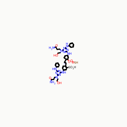 NC(=O)CCN(CCO)c1nc(Nc2ccccc2)nc(Nc2ccc(/C=C/c3ccc(Nc4nc(Nc5ccccc5)nc(N(CCO)CCC(N)=O)n4)cc3S(=O)(=O)O)c(OOOS)c2)n1